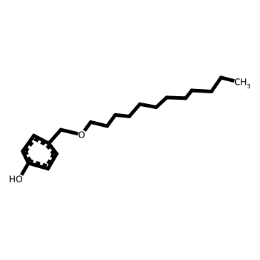 CCCCCCCCCCCCOCc1ccc(O)cc1